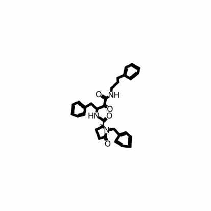 O=C(NCCCc1ccccc1)C(=O)C(Cc1ccccc1)NC(=O)[C@@H]1CCC(=O)N1Cc1ccccc1